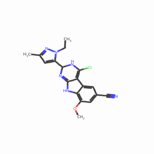 CCn1nc(C)cc1C1N=c2[nH]c3c(OC)cc(C#N)cc3c2=C(Cl)N1